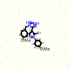 COc1ccc(CN2NNN=C2c2cnn(-c3ccc(OC)cc3)c2I)cc1